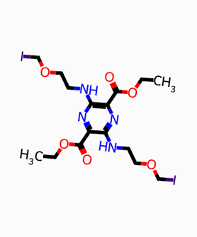 CCOC(=O)c1nc(NCCOCI)c(C(=O)OCC)nc1NCCOCI